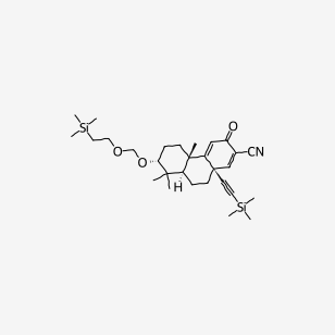 CC1(C)[C@H](OCOCC[Si](C)(C)C)CC[C@]2(C)C3=CC(=O)C(C#N)=C[C@]3(C#C[Si](C)(C)C)CC[C@@H]12